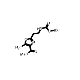 COC(=O)c1nc(CCNC(=O)OC(C)(C)C)oc1C